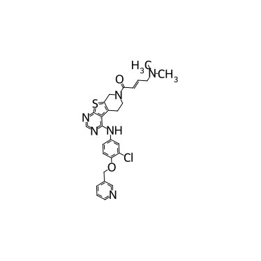 CN(C)C/C=C/C(=O)N1CCc2c(sc3ncnc(Nc4ccc(OCc5cccnc5)c(Cl)c4)c23)C1